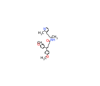 COc1ccc(C(=CCCC(=O)NC(C)CCCc2cccnc2C)c2ccc(OC)cc2)cc1